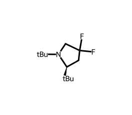 CC(C)(C)[C@@H]1CC(F)(F)CN1C(C)(C)C